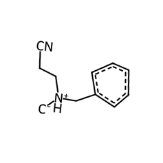 [CH2-][NH+](CCC#N)Cc1ccccc1